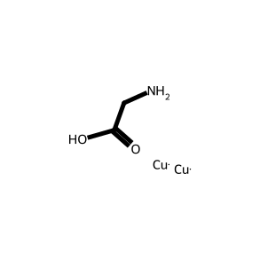 NCC(=O)O.[Cu].[Cu]